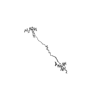 N=C(N)NCCCCCCCCSCCCCCCCCNC(=N)N